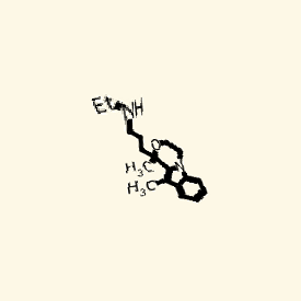 CCNCCCC1(C)OCCn2c1c(C)c1ccccc12